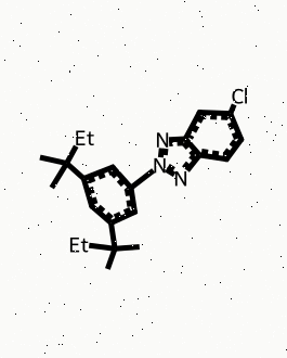 CCC(C)(C)c1cc(-n2nc3ccc(Cl)cc3n2)cc(C(C)(C)CC)c1